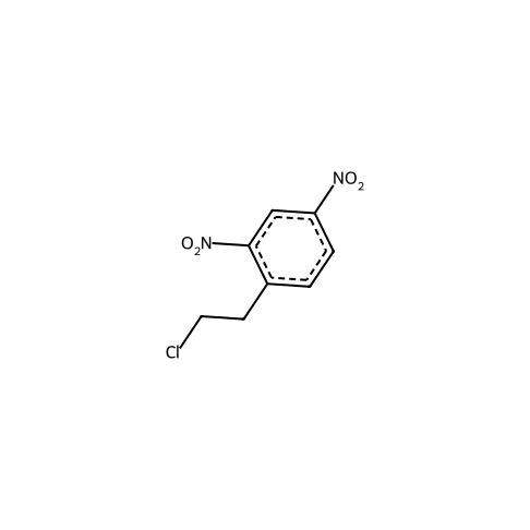 O=[N+]([O-])c1ccc(CCCl)c([N+](=O)[O-])c1